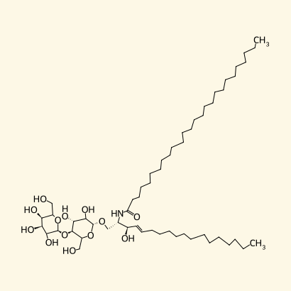 CCCCCCCCCCCCC/C=C/[C@@H](O)[C@H](CO[C@@H]1OC(CO)[C@@H](O[C@@H]2OC(CO)[C@H](O)[C@H](O)C2O)[C@H](O)C1O)NC(=O)CCCCCCCCCCCCCCCCCCCCCCCCC